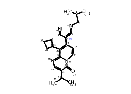 CC(C)CN/C=C(\C=N)c1ccn2c(=O)c(C(C)C)cnc2c1C1CCC1